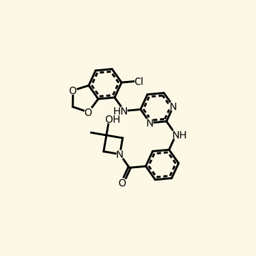 CC1(O)CN(C(=O)c2cccc(Nc3nccc(Nc4c(Cl)ccc5c4OCO5)n3)c2)C1